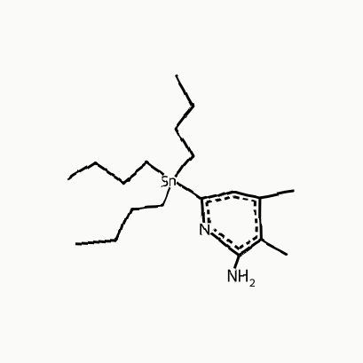 CCC[CH2][Sn]([CH2]CCC)([CH2]CCC)[c]1cc(C)c(C)c(N)n1